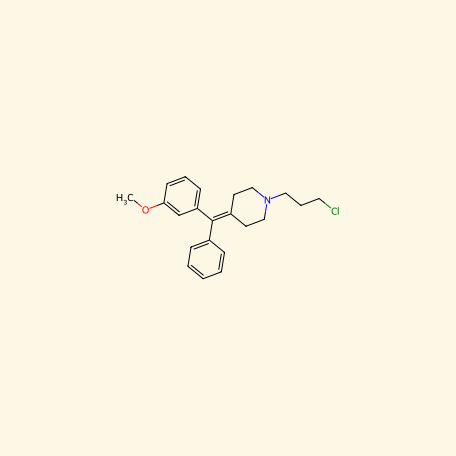 COc1cccc(C(=C2CCN(CCCCl)CC2)c2ccccc2)c1